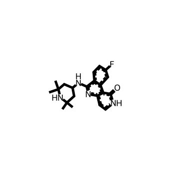 CC1(C)CC(Nc2nc3cc[nH]c(=O)c3c3cc(F)ccc23)CC(C)(C)N1